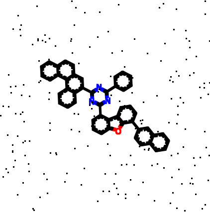 c1ccc(-c2nc(-c3cc4ccc5ccccc5c4c4ccccc34)nc(-c3cccc4oc5c(-c6ccc7ccccc7c6)cccc5c34)n2)cc1